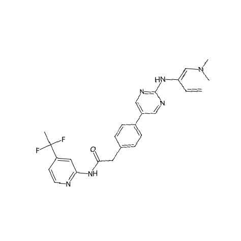 C=C/C(=C\N(C)C)Nc1ncc(-c2ccc(CC(=O)Nc3cc(C(C)(F)F)ccn3)cc2)cn1